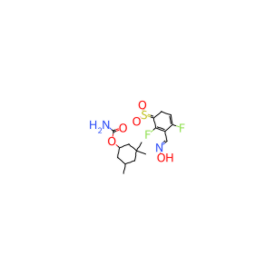 CC1CC(OC(N)=O)CC(C)(C)C1.O=S(=O)=C1CC=C(F)C(C=NO)=C1F